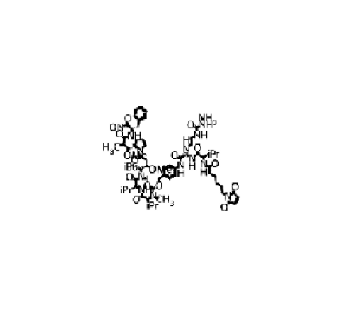 CC[C@H](C)[C@@H](C(CC(=O)N1CCC[C@H]1C(OC)C(C)C(=O)N[C@@H](Cc1ccccc1)C(=O)N=O)OC)N(I)C(=O)[C@@H](NC(=O)C(C(C)C)N(C)C(=O)OCc1ccc(NC(=O)[C@H](NCCNC(=O)NN)NC(=O)C(NC(=O)CCCCCN2C(=O)C=CC2=O)C(C)C)cc1)C(C)C